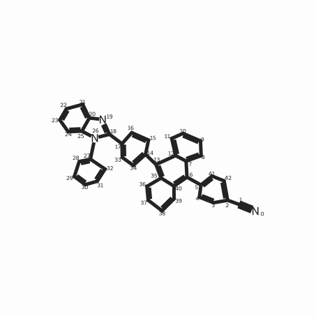 N#Cc1ccc(-c2c3ccccc3c(-c3ccc(-c4nc5ccccc5n4-c4ccccc4)cc3)c3ccccc23)cc1